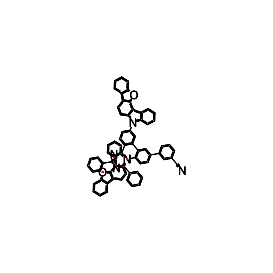 N#Cc1cccc(-c2ccc(-n3c4ccccc4c4c5oc6ccccc6c5ccc43)c(-c3cc(-n4c5ccccc5c5c6oc7ccccc7c6ccc54)ccc3-c3nc(-c4ccccc4)nc(-c4ccccc4)n3)c2)c1